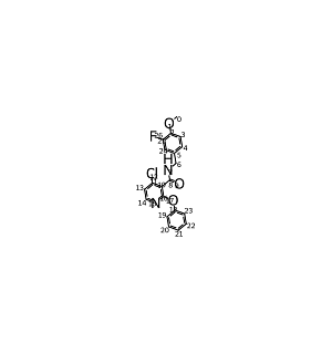 COc1ccc(CNC(=O)c2c(Cl)ccnc2Oc2ccccc2)cc1F